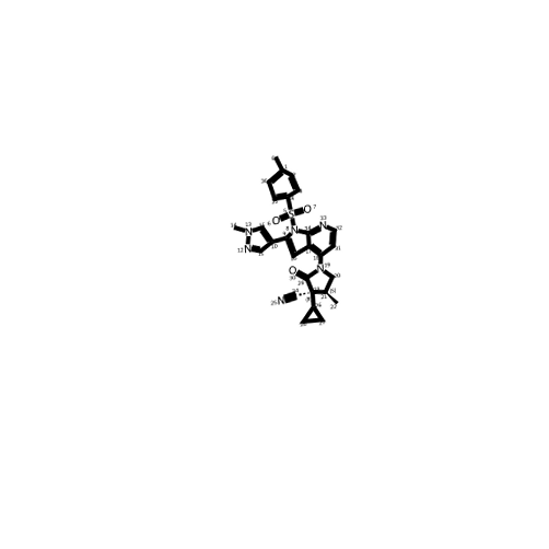 Cc1ccc(S(=O)(=O)n2c(-c3cnn(C)c3)cc3c(N4C[C@@H](C)[C@@](C#N)(C5CC5)C4=O)ccnc32)cc1